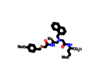 CCC(C)C(CN(CC(=O)NC(CCSC)C(=O)O)Cc1cccc2ccccc12)NC(=O)CSCc1ccc(OC)cc1